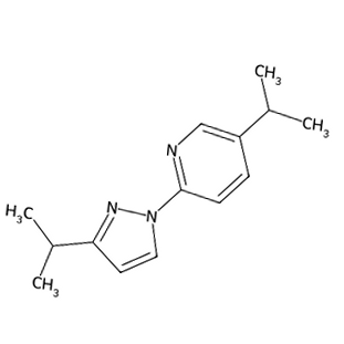 CC(C)c1ccc(-n2ccc(C(C)C)n2)nc1